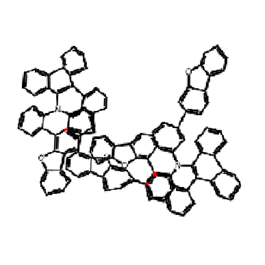 c1cc(-c2ccc3c(c2)oc2ccccc23)cc(N(c2ccccc2-c2cccc3c2oc2ccccc23)c2c(-c3cccc4cc(-c5ccc6c(c5)oc5c(-c7cccc(N(c8ccccc8-c8cccc9c8oc8ccccc89)c8c(-c9cccc%10ccccc9%10)c9ccccc9c9ccccc89)c7)cccc56)ccc34)c3ccccc3c3ccccc23)c1